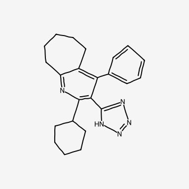 c1ccc(-c2c3c(nc(C4CCCCC4)c2-c2nnn[nH]2)CCCCC3)cc1